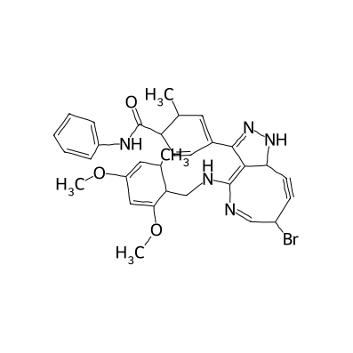 COC1=CC(C)C(CNC2=C3\C(C4=CC(C)C(C(=O)Nc5ccccc5)C=C4)=NNC3C#CC(Br)/C=N\2)C(OC)=C1